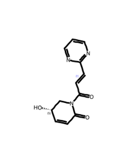 O=C1C=C[C@H](O)CN1C(=O)/C=C/c1ncccn1